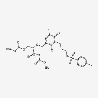 CC[C@H](OC(=O)OC(C)(C)C)C(COC(=O)OC(C)(C)C)OCn1cc(C)c(=O)n(CCCOS(=O)(=O)c2ccc(C)cc2)c1=O